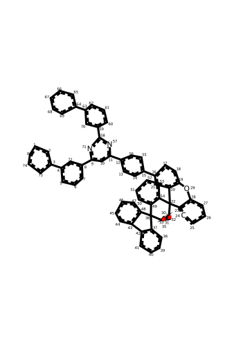 c1ccc(-c2cccc(-c3cc(-c4ccc(-c5ccc6c(c5)C5(c7ccccc7O6)c6ccccc6C6(c7ccccc7-c7ccccc76)c6ccccc65)cc4)nc(-c4cccc(-c5ccccc5)c4)n3)c2)cc1